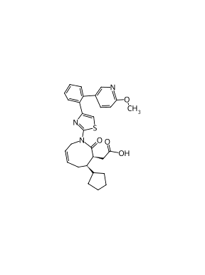 COc1ccc(-c2ccccc2-c2csc(N3CC=CC[C@H](C4CCCC4)[C@H](CC(=O)O)C3=O)n2)cn1